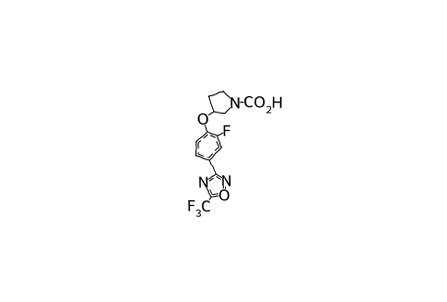 O=C(O)N1CCC(Oc2ccc(-c3noc(C(F)(F)F)n3)cc2F)C1